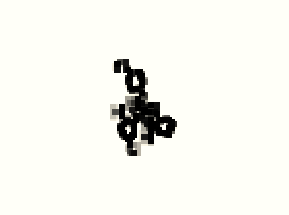 NC1(c2cccc(Cl)c2)Nc2ccccc2N=C1NCc1ccc(Cl)cc1